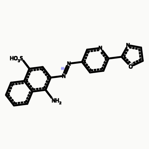 Nc1c(/N=N/c2ccc(-c3ncco3)nc2)cc(S(=O)(=O)O)c2ccccc12